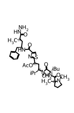 CCC(C)[C@H](NC(=O)[C@@]1(C)CCCN1C)C(=O)N(C)[C@H](C[C@@H](OC(C)=O)c1nc(C(=O)N[C@@H](Cc2ccccc2)C[C@H](C)C(=O)NN)cs1)C(C)C